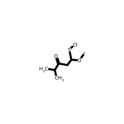 CC(C)C(=O)CC(OI)SCl